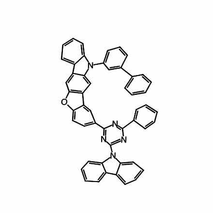 c1ccc(-c2cccc(-n3c4ccccc4c4cc5oc6ccc(-c7nc(-c8ccccc8)nc(-n8c9ccccc9c9ccccc98)n7)cc6c5cc43)c2)cc1